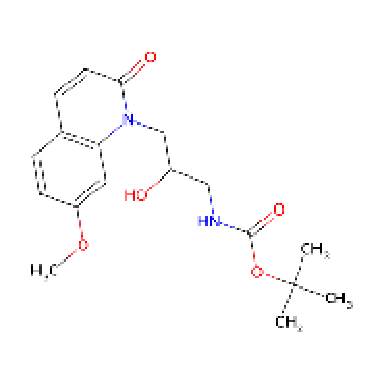 COc1ccc2ccc(=O)n(CC(O)CNC(=O)OC(C)(C)C)c2c1